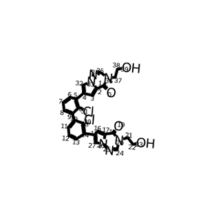 O=c1c2cc(-c3cccc(-c4cccc(-c5cc6c(=O)n(CCO)cnn6c5)c4Cl)c3Cl)cn2ncn1CCO